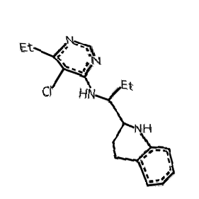 CCc1ncnc(NC(CC)C2CCc3ccccc3N2)c1Cl